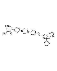 CCC(C)NC(=O)N(C=N)c1ccc(N2CCN(c3ccc(OCC4COC(Cn5nccn5)(C5CCCO5)O4)cc3)CC2)cc1